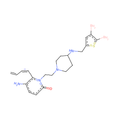 Bc1cc(CNC2CCN(CCn3c(/C=C\C=C)c(N)ccc3=O)CC2)sc1B